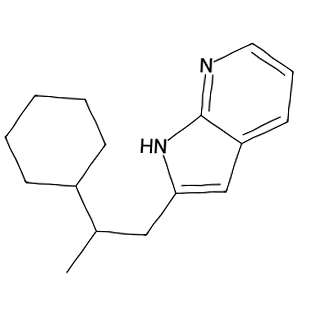 CC(Cc1cc2cccnc2[nH]1)C1CCCCC1